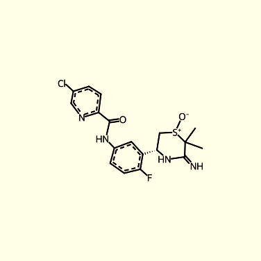 CC1(C)C(=N)N[C@H](c2cc(NC(=O)c3ccc(Cl)cn3)ccc2F)C[S+]1[O-]